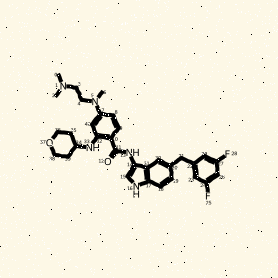 CN(C)CCN(C)c1ccc(C(=O)Nc2c[nH]c3ccc(Cc4cc(F)cc(F)c4)cc23)c(NC2CCOCC2)c1